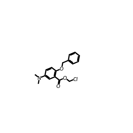 CN(C)c1ccc(OCc2ccccc2)c(C(=O)OCCl)c1